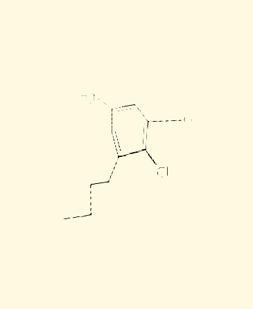 CCCCc1cc(N)cc(O)c1Cl